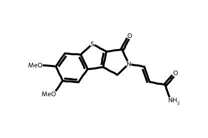 COc1cc2sc3c(c2cc1OC)CN(C=CC(N)=O)C3=O